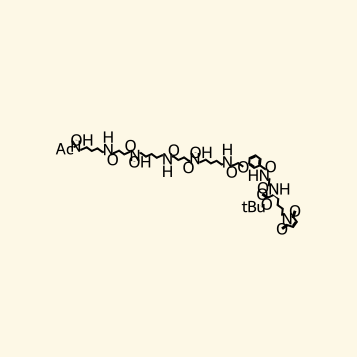 CC(=O)N(O)CCCCCNC(=O)CCC(=O)N(O)CCCCCNC(=O)CCC(=O)N(O)CCCCCNC(=O)COc1cccc(C(=O)NCC(=O)N[C@@H](CCCCN2C(=O)C=CC2=O)C(=O)OC(C)(C)C)c1